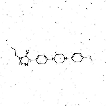 CCCn1nnn(-c2ccc(N3CCN(c4ccc(OC)cc4)CC3)cc2)c1=O